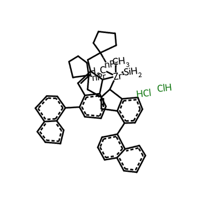 CCCC1(CC2=Cc3c(-c4cccc5ccccc45)cccc3[CH]2[Zr]([CH3])([CH3])(=[SiH2])[CH]2C(CC3(CCC)CCCC3)=Cc3c(-c4cccc5ccccc45)cccc32)CCCC1.Cl.Cl